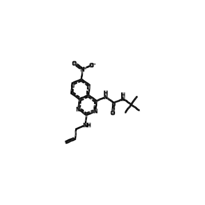 C=CCNc1nc(NC(=O)NC(C)(C)C)c2cc([N+](=O)[O-])ccc2n1